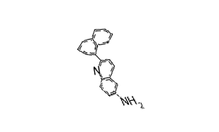 Nc1ccc2nc(-c3cccc4ccccc34)ccc2c1